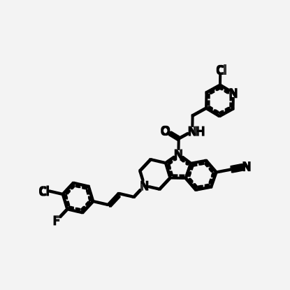 N#Cc1ccc2c3c(n(C(=O)NCc4ccnc(Cl)c4)c2c1)CCN(CC=Cc1ccc(Cl)c(F)c1)C3